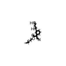 CCOCCOC(=O)/C(C#N)=C1\C=C(NCCCO)CCC1